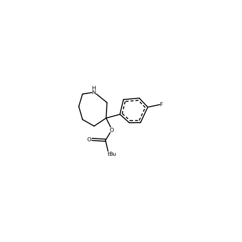 CC(C)(C)C(=O)OC1(c2ccc(F)cc2)CCCCNC1